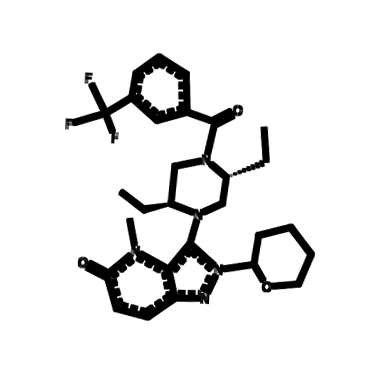 CC[C@@H]1CN(c2c3c(ccc(=O)n3C)nn2C2CCCCO2)[C@@H](CC)CN1C(=O)c1cccc(C(F)(F)F)c1